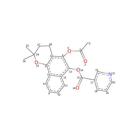 CC(=O)Oc1c2c(c3ccccc3c1OC(=O)c1cccnc1)OC(C)(C)CC2